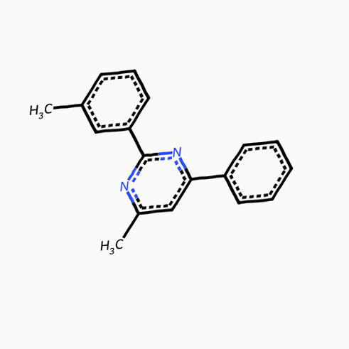 Cc1cccc(-c2nc(C)cc(-c3ccccc3)n2)c1